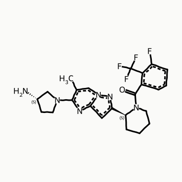 Cc1cn2nc([C@@H]3CCCCN3C(=O)c3cccc(F)c3C(F)(F)F)cc2nc1N1CC[C@H](N)C1